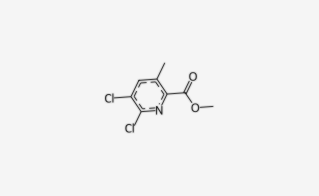 COC(=O)c1nc(Cl)c(Cl)cc1C